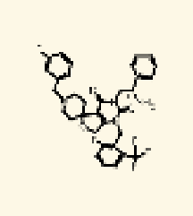 N[C@@H](Cn1c(=O)c2c(n(Cc3c(F)cccc3C(F)(F)F)c1=O)COC21CCN(Cc2cccc(F)c2)CC1)c1ccccc1